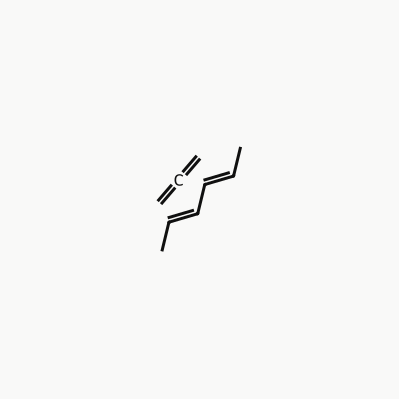 C=C=C.CC=CC=CC